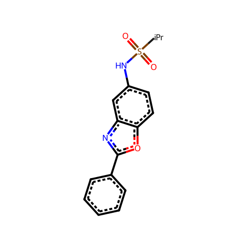 CC(C)S(=O)(=O)Nc1ccc2oc(-c3ccccc3)nc2c1